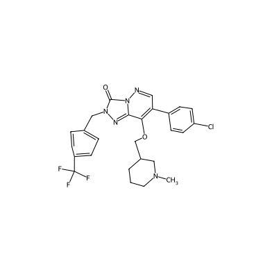 CN1CCCC(COc2c(-c3ccc(Cl)cc3)cnn3c(=O)n(Cc4ccc(C(F)(F)F)cc4)nc23)C1